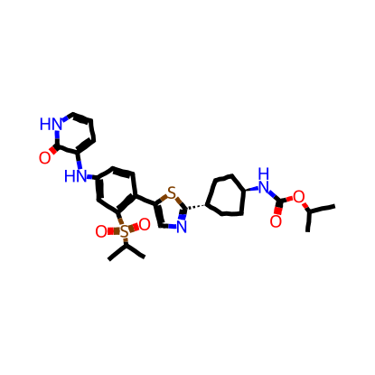 CC(C)OC(=O)N[C@H]1CC[C@H](c2ncc(-c3ccc(Nc4ccc[nH]c4=O)cc3S(=O)(=O)C(C)C)s2)CC1